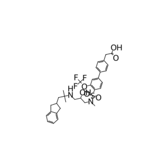 CN(CC(O)CNC(C)(C)CC1Cc2ccccc2C1)S(=O)(=O)c1ccc(-c2ccc(CC(=O)O)cc2)cc1OC(F)(F)F